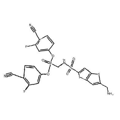 N#Cc1ccc(OP(=O)(CNS(=O)(=O)c2cc3sc(CN)cc3s2)Oc2ccc(C#N)c(F)c2)cc1F